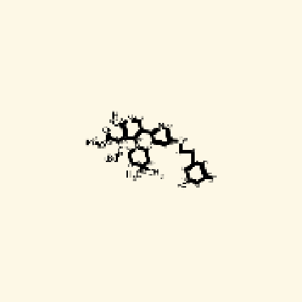 Cc1ncc(-c2ccc(OCCc3cc(F)cc(F)c3)cn2)c(N2CCC(C)(C)CC2)c1[C@H](OC(C)(C)C)C(=O)OC(C)C